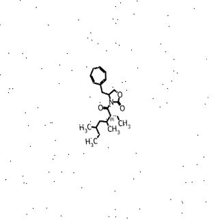 CCC(C)CC(C)[C@@H](CC)C(=O)N1C(=O)OCC1CC1=CC=CCC=C1